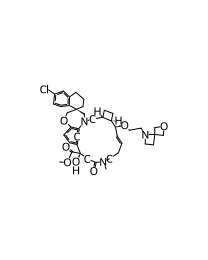 COC(=O)[C@@]1(O)CC(=O)N(C)CC/C=C/[C@H](OCCN2CCC23COC3)[C@@H]2CC[C@H]2CN2C[C@@]3(CCCc4cc(Cl)ccc43)COc3ccc1cc32